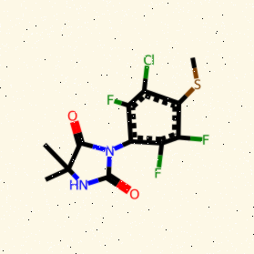 CSc1c(F)c(F)c(N2C(=O)NC(C)(C)C2=O)c(F)c1Cl